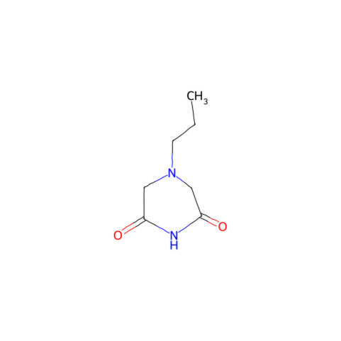 CCCN1CC(=O)NC(=O)C1